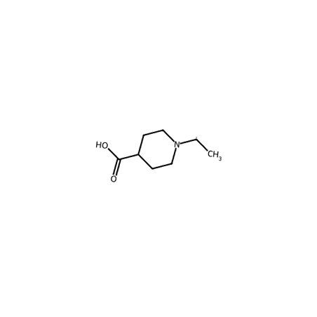 C[CH]N1CCC(C(=O)O)CC1